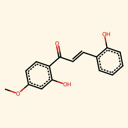 COc1ccc(C(=O)/C=C/c2ccccc2O)c(O)c1